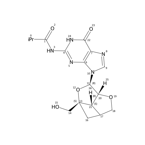 CC(C)C(=O)Nc1nc2c(ncn2[C@@H]2O[C@@]3(CO)CC4CO[C@@H]2[C@H]43)c(=O)[nH]1